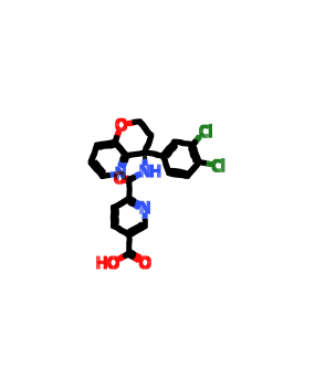 O=C(O)c1ccc(C(=O)N[C@]2(c3ccc(Cl)c(Cl)c3)CCOc3cccnc32)nc1